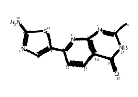 Cc1nc2nc(-c3cnc(N)s3)ccc2c(=O)[nH]1